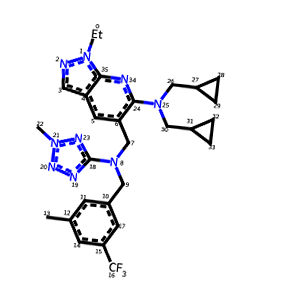 CCn1ncc2cc(CN(Cc3cc(C)cc(C(F)(F)F)c3)c3nnn(C)n3)c(N(CC3CC3)CC3CC3)nc21